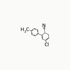 Cc1ccc(C2=CC(Cl)=CCC2C#N)cc1